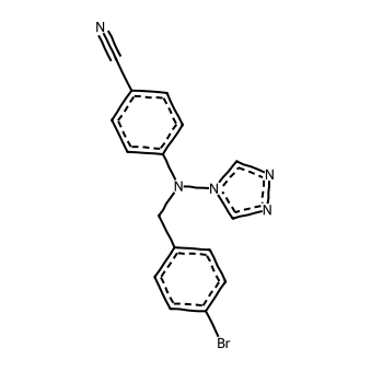 N#Cc1ccc(N(Cc2ccc(Br)cc2)n2cnnc2)cc1